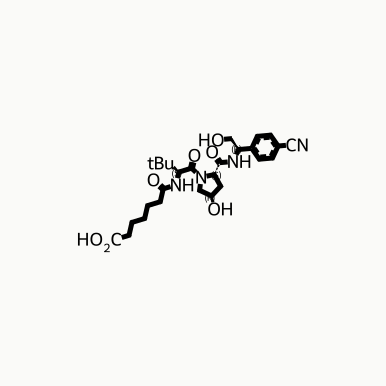 CC(C)(C)[C@H](NC(=O)CCCCCC(=O)O)C(=O)N1C[C@H](O)C[C@H]1C(=O)N[C@@H](CO)c1ccc(C#N)cc1